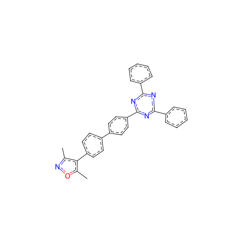 Cc1noc(C)c1-c1ccc(-c2ccc(-c3nc(-c4ccccc4)nc(-c4ccccc4)n3)cc2)cc1